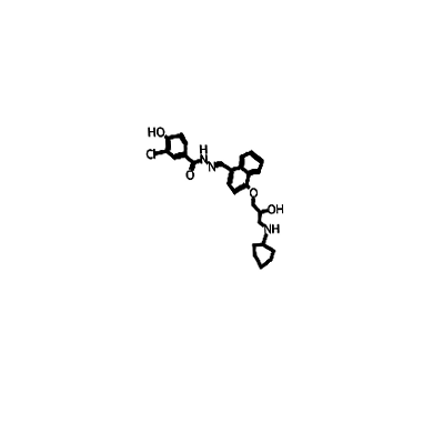 O=C(N/N=C/c1ccc(OCC(O)CNC2CCCCC2)c2ccccc12)c1ccc(O)c(Cl)c1